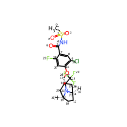 CS(=O)(=O)NC(=O)c1cc(Cl)c(OC[C@@H]2C[C@H]3CC[C@@H](C2)N3CC(F)(F)F)cc1F